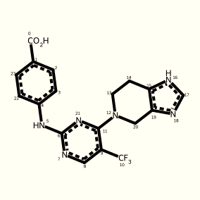 O=C(O)c1ccc(Nc2ncc(C(F)(F)F)c(N3CCc4[nH]cnc4C3)n2)cc1